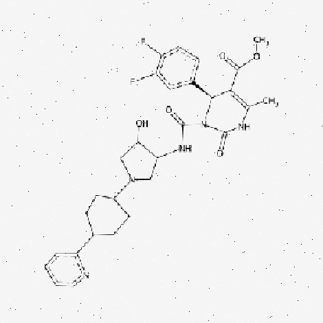 COC(=O)C1=C(C)NC(=O)N(C(=O)NC2CN(C3CCC(c4ccccn4)CC3)CC2O)[C@H]1c1ccc(F)c(F)c1